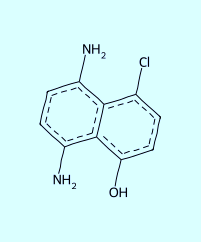 Nc1ccc(N)c2c(Cl)ccc(O)c12